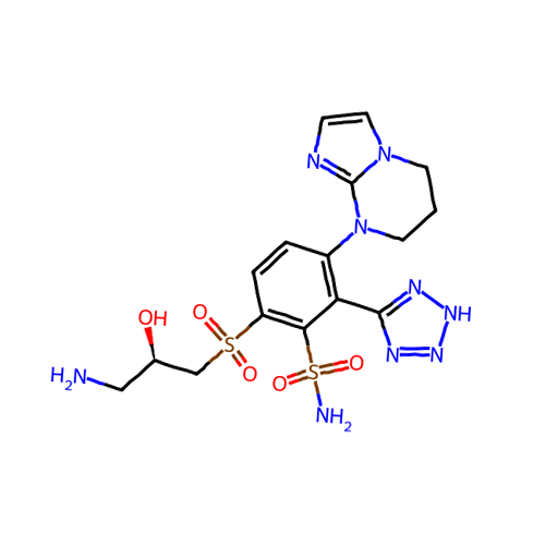 NC[C@@H](O)CS(=O)(=O)c1ccc(N2CCCn3ccnc32)c(-c2nn[nH]n2)c1S(N)(=O)=O